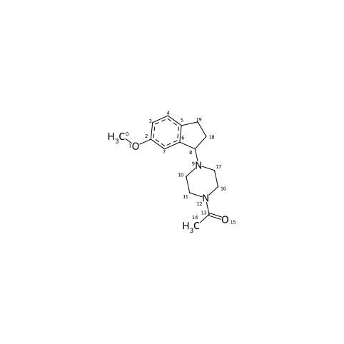 COc1ccc2c(c1)C(N1CCN(C(C)=O)CC1)CC2